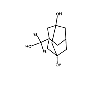 CCC(O)(CC)C12CC3CC(O)(CC(O)(C3)C1)C2